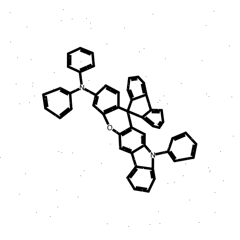 c1ccc(N(c2ccccc2)c2ccc3c(c2)Oc2cc4c5ccccc5n(-c5ccccc5)c4cc2C32c3ccccc3-c3ccccc32)cc1